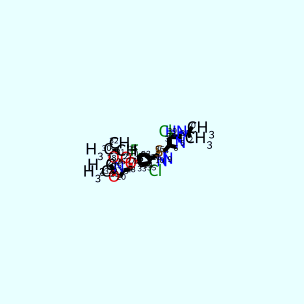 CC(C)Nc1ncc(-c2nnc(-c3cc(F)c(OCC4COC(C)(C)N4C(=O)OC(C)(C)C)cc3Cl)s2)cc1Cl